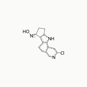 O/N=C1\CCc2[nH]c3c(ccc4cnc(Cl)cc43)c21